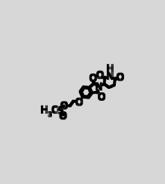 CS(=O)OCCOc1ccc2c(c1)C(=O)N(C1CCC(=O)NC1=O)C2=O